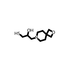 OC(CS)CN1CCC2(CC1)COC2